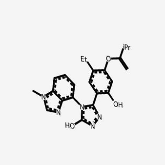 C=C(Oc1cc(O)c(-c2nnc(O)n2-c2cccc3c2ncn3C)cc1CC)C(C)C